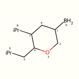 BC1COC(CC(C)C)C(C(C)C)C1